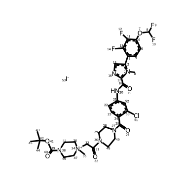 Cn1c(-c2ccc(OC(F)F)c(F)c2F)cnc1C(=O)Nc1ccc(C(=O)N2CCN(C(=O)C[N+]3(C)CCN(C(=O)OC(C)(C)C)CC3)CC2)c(Cl)c1.[I-]